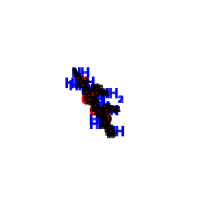 CNCCCCC(NC)C(=O)NCCCCC(NC(=O)C(CCCCN)NC(C)(C)C)C(=O)NC(CCCCNC(=O)C(CCCCNC(=O)C(CCCCNC(C)(C)C)NC)NC(=O)C(CCCCNC)NC)C(C)=O